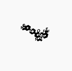 Cc1cnc2cc(C3CCN(c4ccc5c(cnn5C)c4)CC3)c(=O)n(Cc3ncccc3C(F)(F)F)c2n1